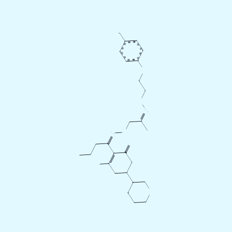 CCCC(=NOCC(C)=NOCCOc1ccc(Cl)cc1)C1=C(O)CC(C2CCCSC2)CC1=O